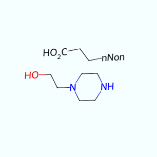 CCCCCCCCCCCC(=O)O.OCCN1CCNCC1